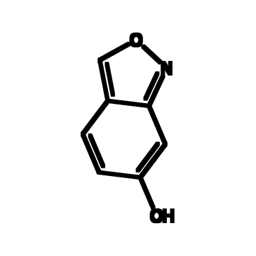 Oc1ccc2conc2c1